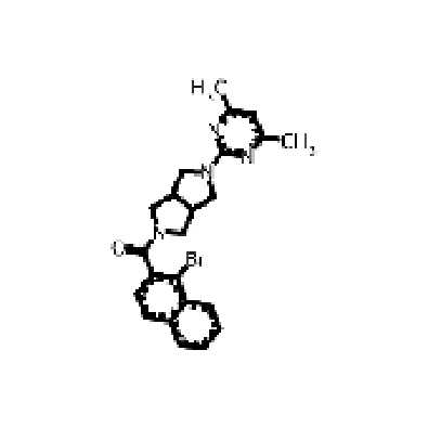 Cc1cc(C)nc(N2CC3CN(C(=O)c4ccc5ccccc5c4Br)CC3C2)n1